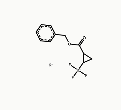 O=C(OCc1ccccc1)C1CC1[B-](F)(F)F.[K+]